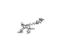 CC1(C)OCC(C(COC2OC(CCC(C)(C)[Si](C)(C)O)C3OC(C)(C)OC3C2OCOCCCCCCNC(=O)Cc2ccc(O)c([N+](=O)[O-])c2)NC=O)O1